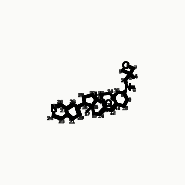 CN(CC1(C)COC1)C1CCC2=CC3=CC[C@]4(C)C(c5ccc6ccncc6c5)CC[C@H]4[C@@]34CC[C@]2(C1)O4